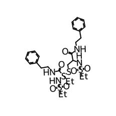 CCS(NS(=O)(=O)CC)(SCC(NS(=O)(=O)CC)C(=O)NCCc1ccccc1)C(=O)NCCc1ccccc1